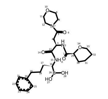 O=C(N[C@H](CC(=O)N1CCOCC1)C(=O)N[C@@H](CCCc1ccccc1)B(O)O)[C@@H]1CCCCO1